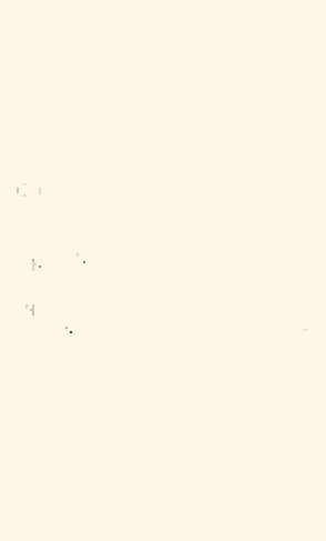 CCOC(=O)c1ccc(-c2nnn(CC(C)(C)C)n2)cc1